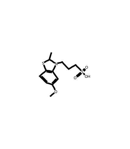 COc1ccc2c(c1)N(CCCS(=O)(=O)O)C(C)S2